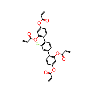 C=CC(=O)Oc1ccc(-c2ccc(-c3ccc(OC(=O)C=C)cc3OC(=O)C=C)c(F)c2)c(OC(=O)C=C)c1